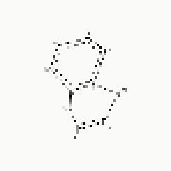 c1ccc2c(c1)CP=PS2